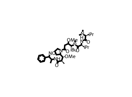 CC[C@H](C)C(C(CC(=O)N1CCCC1[C@H](OC)[C@@H](C)C(=O)NC(C)C(N=O)c1ccccc1)OC)N(C)C(=O)[C@@H](NC(=O)[C@H](C(C)C)N(C)C)C(C)C